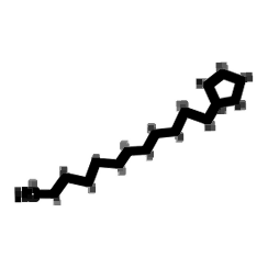 OCCCCCCCCCCCC1CCCC1